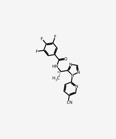 C[C@H](NC(=O)c1cc(F)c(F)c(F)c1)c1ncnn1-c1ccc(C#N)cn1